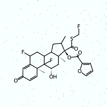 CC1CC2C3CC(F)C4=CC(=O)C=C[C@]4(C)C3(F)[C@@H](O)C[C@]2(C)[C@@]1(OC(=O)c1ccco1)C(=O)SCF